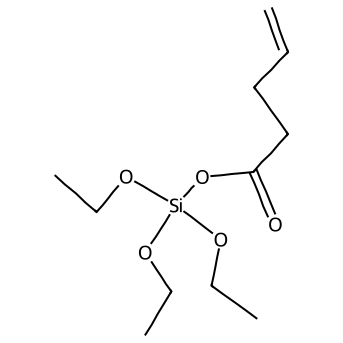 C=CCCC(=O)O[Si](OCC)(OCC)OCC